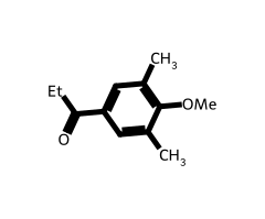 CCC(=O)c1cc(C)c(OC)c(C)c1